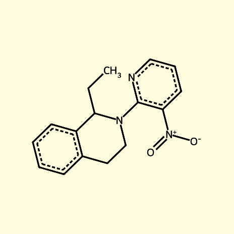 CCC1c2ccccc2CCN1c1ncccc1[N+](=O)[O-]